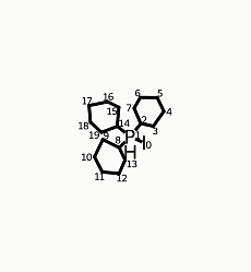 I[PH](C1CCCCC1)(C1CCCCC1)C1CCCCC1